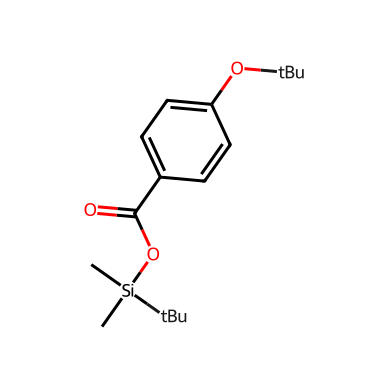 CC(C)(C)Oc1ccc(C(=O)O[Si](C)(C)C(C)(C)C)cc1